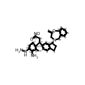 C=C1CN(C2CCc3ccc(C(CC(=O)N=O)c4ccc(NN)c(N)c4C)cc32)Cc2ccccc2O1